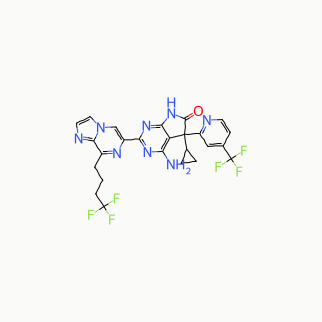 Nc1nc(-c2cn3ccnc3c(CCCC(F)(F)F)n2)nc2c1C(c1cc(C(F)(F)F)ccn1)(C1CC1)C(=O)N2